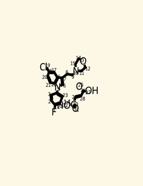 Fc1ccc(-n2cc(CCN3CCOCC3)c3cc(Cl)ccc32)cc1.O=C(O)/C=C/[14C](=O)O